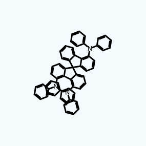 c1ccc(N(c2ccccc2)c2cccc3c2-c2ccccc2C32c3cccc(N(c4ccccc4)c4ccccc4)c3-c3c(N(c4ccccc4)c4ccccc4)cccc32)cc1